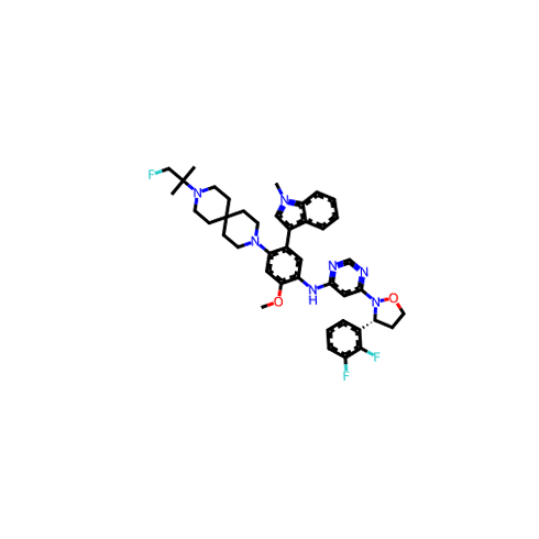 COc1cc(N2CCC3(CC2)CCN(C(C)(C)CF)CC3)c(-c2cn(C)c3ccccc23)cc1Nc1cc(N2OCC[C@@H]2c2cccc(F)c2F)ncn1